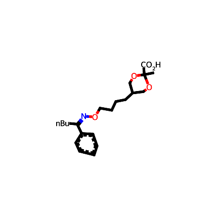 CCCCC(=NOCCCCC1COC(C)(C(=O)O)OC1)c1ccccc1